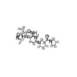 Cc1cc(C2(C(=O)Nc3ccc(N4CCCC(C(=O)N5CCCC5)C4)nc3N)CC2)on1